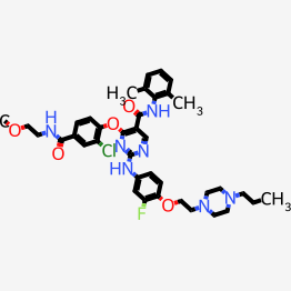 CCCN1CCN(CCOc2ccc(Nc3ncc(C(=O)Nc4c(C)cccc4C)c(Oc4ccc(C(=O)NCCOC)cc4Cl)n3)cc2F)CC1